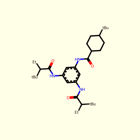 CCC(C(=O)Nc1cc(NC(=O)C2CCC(C(C)(C)C)CC2)cc(NC(=O)C(CC)C(C)(C)C)c1)C(C)(C)C